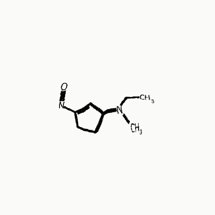 CCN(C)C1C=C(N=O)CC1